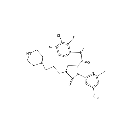 Cc1cc(C(F)(F)F)cc(N2C(=O)N(CCCN3CCNCC3)CC2C(=O)N(C)c2ccc(F)c(Cl)c2F)n1